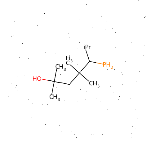 CC(C)C(P)C(C)(C)CC(C)(C)O